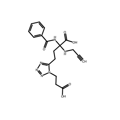 C#CCNC(CCc1nnnn1CCC(=O)O)(NC(=O)c1ccccc1)C(=O)O